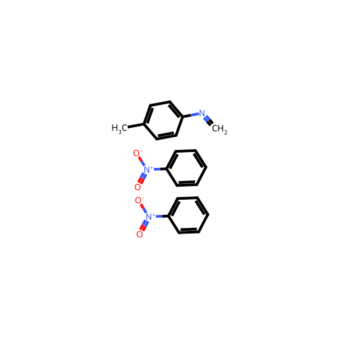 C=Nc1ccc(C)cc1.O=[N+]([O-])c1ccccc1.O=[N+]([O-])c1ccccc1